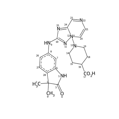 CC1(C)C(=O)Nc2cc(NC3=N[N+]4(N5CCC(C(=O)O)CC5)C=CN=CC4=N3)ccc21